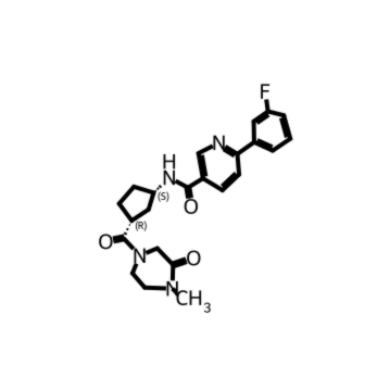 CN1CCN(C(=O)[C@@H]2CC[C@H](NC(=O)c3ccc(-c4cccc(F)c4)nc3)C2)CC1=O